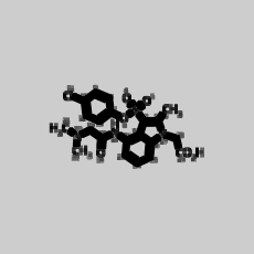 Cc1c(S(=O)(=O)Oc2ccc(Cl)cc2)c2c(NC(=O)CN(C)C)cccc2n1CC(=O)O